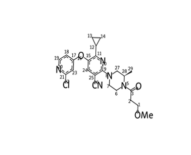 COCCC(=O)N1CCN(c2nc(C3CC3)c(Oc3ccnc(Cl)c3)cc2C#N)C[C@H]1C